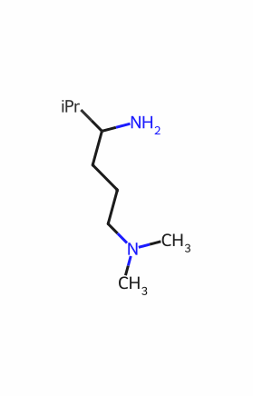 CC(C)C(N)CCCN(C)C